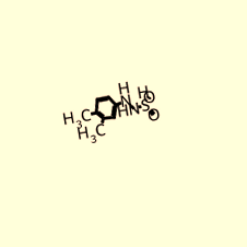 Cc1ccc(NN[SH](=O)=O)cc1C